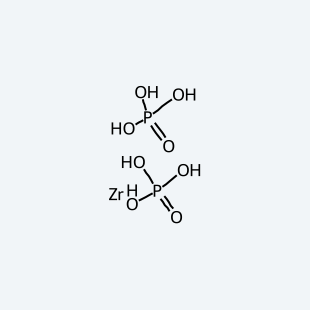 O=P(O)(O)O.O=P(O)(O)O.[Zr]